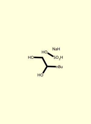 CCCCC(O)CO.O=S(=O)(O)O.[NaH]